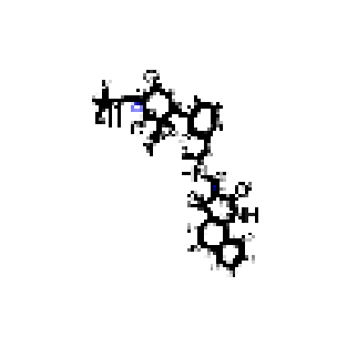 CC(Cc1cccc(C2CC(=O)/C(=C/NC(C)(C)C)C(=O)C2(C)C#N)c1)N/C=C1/C(=O)Nc2c(ccc3ccccc23)C1=O